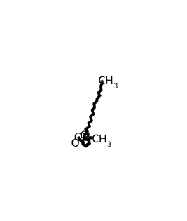 CCCCCCCCCCCCCCCCC=COc1c(CC)cccc1C(=O)O